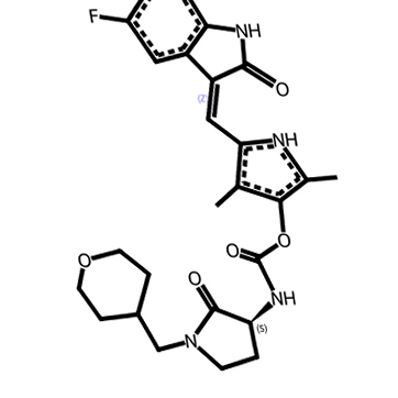 Cc1[nH]c(/C=C2\C(=O)Nc3ccc(F)cc32)c(C)c1OC(=O)N[C@H]1CCN(CC2CCOCC2)C1=O